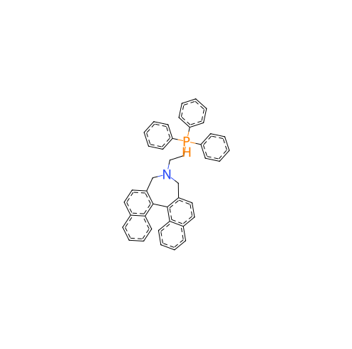 c1ccc([PH](CCN2Cc3ccc4ccccc4c3-c3c(ccc4ccccc34)C2)(c2ccccc2)c2ccccc2)cc1